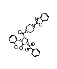 O=C(C1CN(S(=O)(=O)c2ccccc2)C(=O)N1c1ccccc1Cl)N1CCN(c2nc3ccccc3o2)CC1